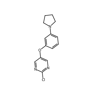 Clc1ncc(Oc2cccc(N3CCCC3)c2)cn1